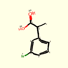 CC(c1cccc(Br)c1)C(O)O